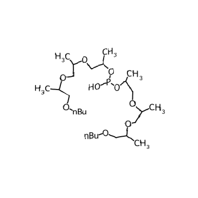 CCCCOCC(C)OCC(C)OCC(C)OP(O)OC(C)COC(C)COC(C)COCCCC